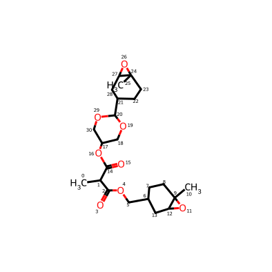 CC(C(=O)OCC1CCC2(C)OC2C1)C(=O)OC1COC(C2CCC3(C)OC3C2)OC1